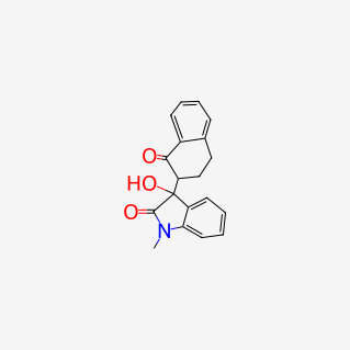 CN1C(=O)C(O)(C2CCc3ccccc3C2=O)c2ccccc21